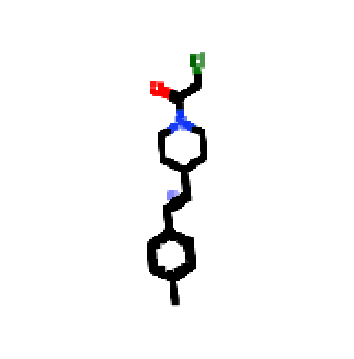 Cc1ccc(/C=C/C2CCN(C(=O)CCl)CC2)cc1